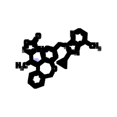 C/C(=C1\c2ccccc2COc2cc(Cn3c(C4CC4)nc4c(C)ccnc43)ccc21)c1noc(=O)[nH]1